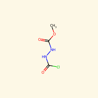 COC(=O)NNC(=O)Cl